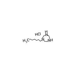 CCCCCCCN1CCNCCNCC1.Cl